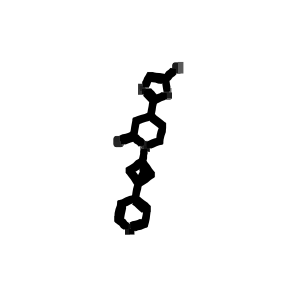 O=C1CC(c2ncc(Cl)s2)CCN1C12CC(c3ccncc3)(C1)C2